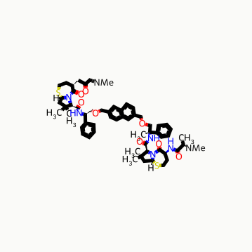 CNCC(=O)C[C@H]1CCS[C@H]2CC(C)(C)[C@@H](C(=O)N[C@H](COCc3ccc4cc(COC[C@](C)(NC(=O)[C@H]5N6C(=O)[C@@H](NC(=O)[C@H](C)NC)CCS[C@H]6CC5(C)C)c5ccccc5)ccc4c3)c3ccccc3)N2C1=O